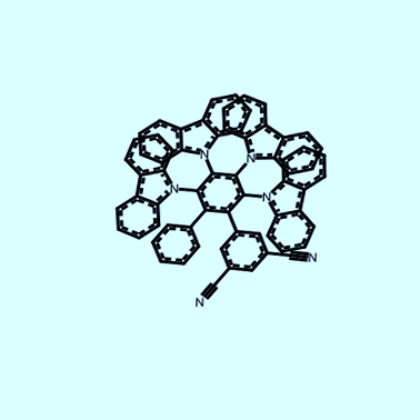 N#Cc1cc(C#N)cc(-c2c(-c3ccccc3)c(-n3c4ccccc4c4ccccc43)c(-n3c4ccccc4c4ccccc43)c(-n3c4ccccc4c4ccccc43)c2-n2c3ccccc3c3ccccc32)c1